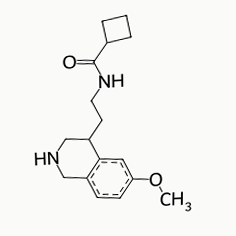 COc1ccc2c(c1)C(CCNC(=O)C1CCC1)CNC2